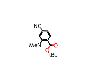 CNc1cc(C#N)ccc1C(=O)OC(C)(C)C